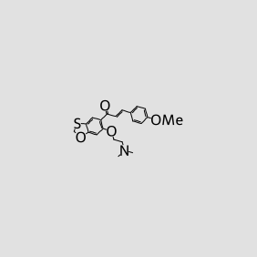 COc1ccc(C=CC(=O)c2cc3c(cc2OCCN(C)C)OCS3)cc1